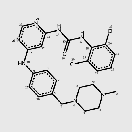 CN1CCN(Cc2ccc(Nc3cc(NC(=O)Nc4c(Cl)cccc4Cl)ncn3)cc2)CC1